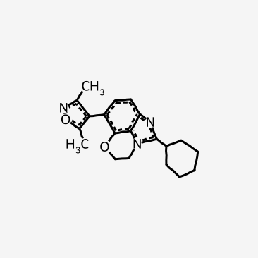 Cc1noc(C)c1-c1ccc2nc(C3CCCCC3)n3c2c1OCC3